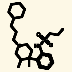 CCCS(=O)(=O)Nc1ccccc1C1(C)CCN(CCCC2CCCCC2)CC1C